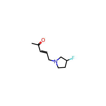 CC(=O)/C=C/CN1CCC(F)C1